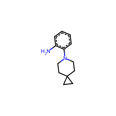 Nc1ccccc1N1CCC2(CC1)CC2